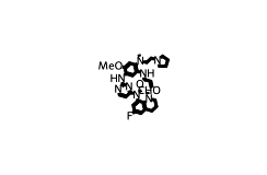 C=CC(=O)Nc1cc(Nc2nccc(N(C=O)c3cc(F)cc4c3N(C)CCC4)n2)c(OC)cc1N(C)CCN1CCCC1